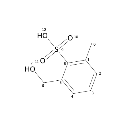 Cc1cccc(CO)c1S(=O)(=O)O